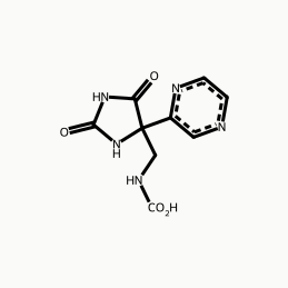 O=C(O)NCC1(c2cnccn2)NC(=O)NC1=O